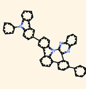 c1ccc(-c2ccc3c(c2)-c2nc4ccccc4nc2-n2c4ccc(-c5ccc6c(c5)c5ccccc5n6-c5ccccc5)cc4c4cccc-3c42)cc1